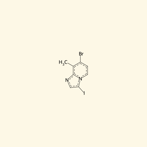 Cc1c(Br)ccn2c(I)cnc12